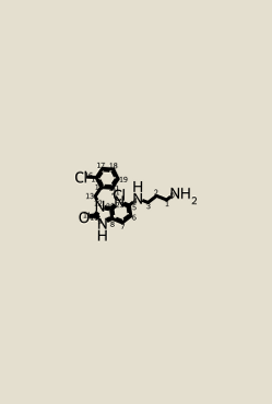 NCCCNc1ccc2[nH]c(=O)n(Cc3c(Cl)cccc3Cl)c2n1